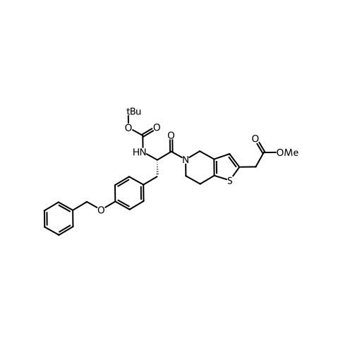 COC(=O)Cc1cc2c(s1)CCN(C(=O)[C@H](Cc1ccc(OCc3ccccc3)cc1)NC(=O)OC(C)(C)C)C2